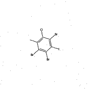 Cc1c(Cl)c(Br)c(I)c(Br)c1Br